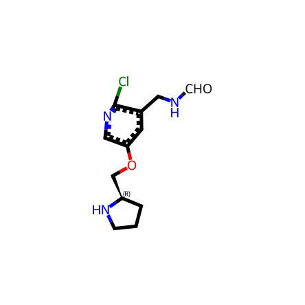 O=CNCc1cc(OC[C@H]2CCCN2)cnc1Cl